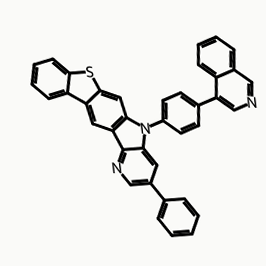 c1ccc(-c2cnc3c4cc5c(cc4n(-c4ccc(-c6cncc7ccccc67)cc4)c3c2)sc2ccccc25)cc1